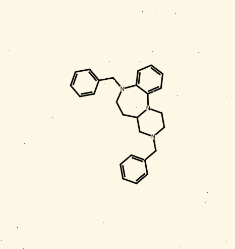 c1ccc(CN2CCN3c4ccccc4N(Cc4ccccc4)CCC3C2)cc1